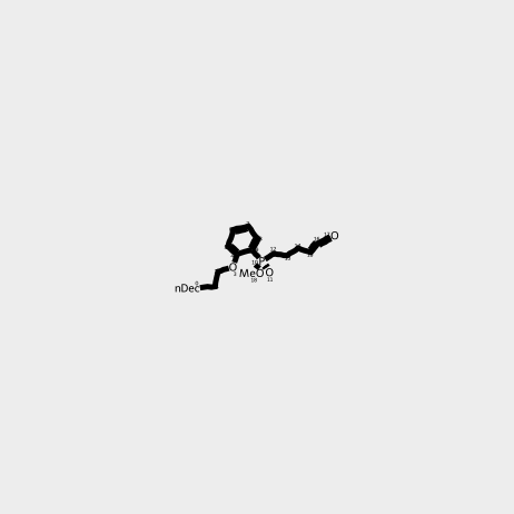 CCCCCCCCCCCCOc1ccccc1P(=O)(CCCC=C=O)OC